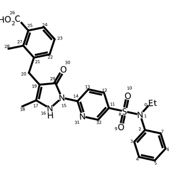 CCN(c1ccccc1)S(=O)(=O)c1ccc(-n2[nH]c(C)c(Cc3cccc(C(=O)O)c3C)c2=O)nc1